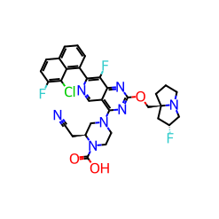 N#CC[C@H]1CN(c2nc(OC[C@@]34CCCN3C[C@H](F)C4)nc3c(F)c(-c4cccc5ccc(F)c(Cl)c45)ncc23)CCN1C(=O)O